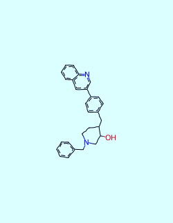 OC1CN(Cc2ccccc2)CCC1Cc1ccc(-c2cnc3ccccc3c2)cc1